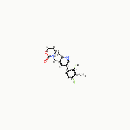 Cc1ncc(-c2ccc(F)c(C)c2F)cc1CN1CCCOC1=O